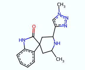 CC1CC2(CC(c3cn(C)nn3)N1)C(=O)Nc1ccccc12